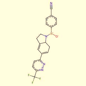 N#Cc1ccc([S+]([O-])N2CCC3=CC(c4ccc(C(F)(F)F)nn4)=CCC32)cc1